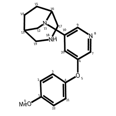 COc1ccc(Oc2cncc(N3CC4CCC3CNC4)c2)cc1